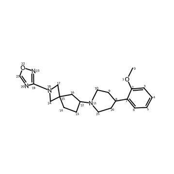 COc1ccccc1C1CCN(C2CCC3(C2)CN(c2ncon2)C3)CC1